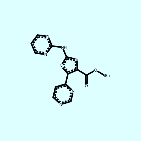 CCC(C)OC(=O)c1sc(Nc2ncccn2)nc1-c1ccncn1